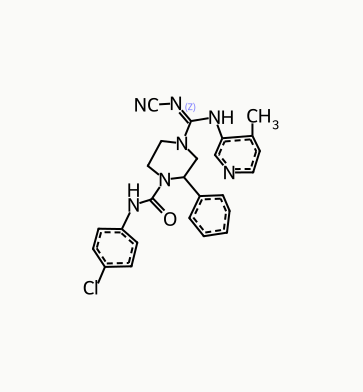 Cc1ccncc1N/C(=N/C#N)N1CCN(C(=O)Nc2ccc(Cl)cc2)C(c2ccccc2)C1